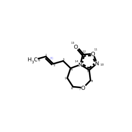 C/C=C/CC1CCOCc2noc(=O)n21